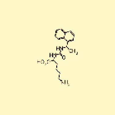 CC(NC(=O)NC(CCCCN)C(=O)O)c1cccc2ccccc12